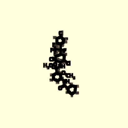 COc1c(NC(=O)c2ccccc2)cccc1C(=O)NC1C(Cl)=CC(C(F)(c2ccc(Cl)cc2)C(F)(F)F)=CC1(Cl)OC